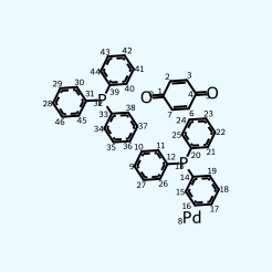 O=C1C=CC(=O)C=C1.[Pd].c1ccc(P(c2ccccc2)c2ccccc2)cc1.c1ccc(P(c2ccccc2)c2ccccc2)cc1